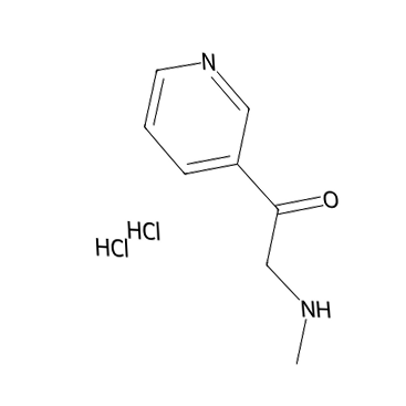 CNCC(=O)c1cccnc1.Cl.Cl